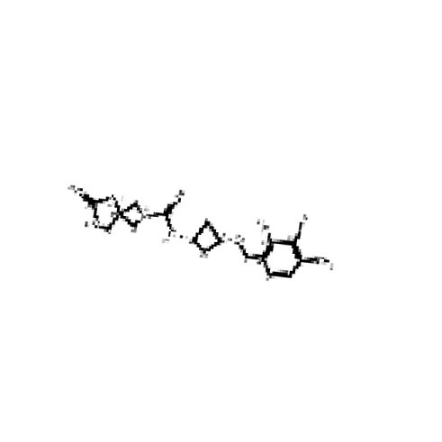 Cc1ccc(CO[C@H]2C[C@@H](OC(=O)N3CC4(COC(=O)N4)C3)C2)c(F)c1F